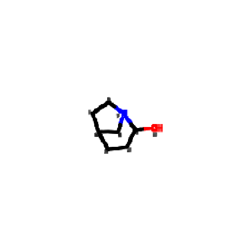 O[C]1CCC2CCN1C2